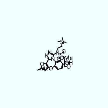 COc1cccc(OC)c1-n1c(-c2ccc(C)o2)nnc1N(CC[Si](C)(C)C)S(=O)(=O)[C@H](C)C1(O)COC1